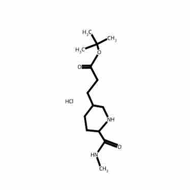 CNC(=O)C1CCC(CCC(=O)OC(C)(C)C)CN1.Cl